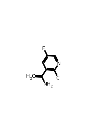 C=C(N)c1cc(F)cnc1Cl